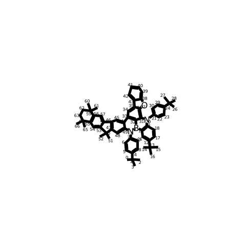 CC(C)(C)c1ccc(N2B3c4cc(C(C)(C)C)ccc4N(c4ccc(C(C)(C)C)cc4)c4c3c(cc3c4oc4ccccc43)-c3cc4c(cc32)C(C)(C)c2cc3c(cc2-4)C(C)(C)CCC3(C)C)cc1